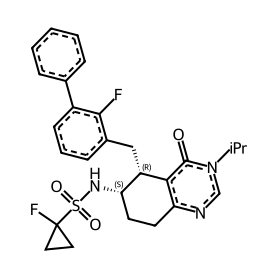 CC(C)n1cnc2c(c1=O)[C@@H](Cc1cccc(-c3ccccc3)c1F)[C@@H](NS(=O)(=O)C1(F)CC1)CC2